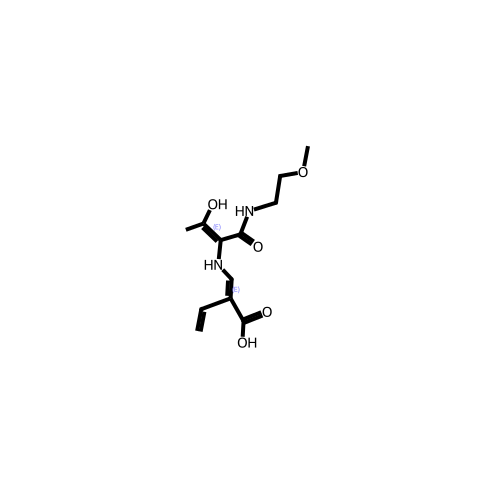 C=C/C(=C\N/C(C(=O)NCCOC)=C(\C)O)C(=O)O